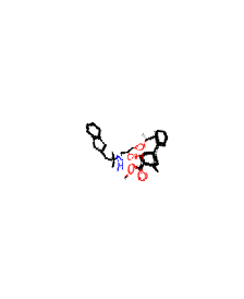 COC(=O)c1ccc(-c2ccccc2[C@@H](C)OC[C@H](O)CNC(C)(C)CC2Cc3ccccc3C2)cc1C